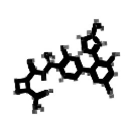 C[C@@H](NC(=O)[C]1COC1C(N)=O)c1ncc(-c2cc(Cl)cc(F)c2-c2nnn(C)n2)cc1F